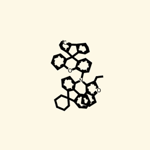 CCc1oc2ccccc2c1N(c1cccc2c1Oc1ccccc1C21c2ccccc2-c2ccccc21)c1cccc2c1-c1ccccc1C21CCCCC1